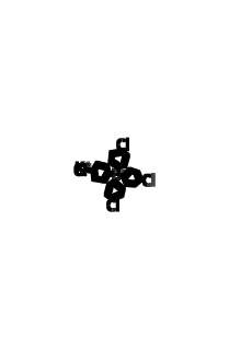 Clc1ccc([B-](c2ccc(Cl)cc2)(c2ccc(Cl)cc2)c2ccc(Cl)cc2)cc1.[K+]